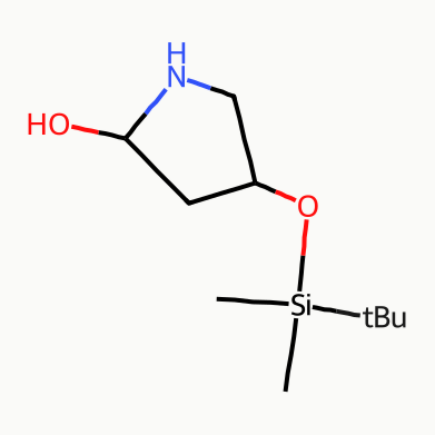 CC(C)(C)[Si](C)(C)OC1CNC(O)C1